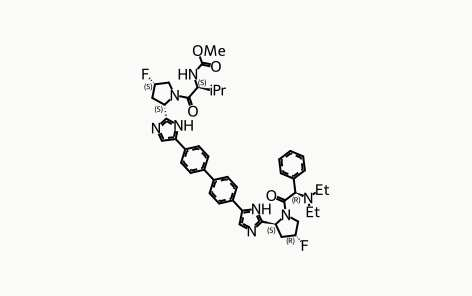 CCN(CC)[C@@H](C(=O)N1C[C@H](F)C[C@H]1c1ncc(-c2ccc(-c3ccc(-c4cnc([C@@H]5C[C@H](F)CN5C(=O)[C@@H](NC(=O)OC)C(C)C)[nH]4)cc3)cc2)[nH]1)c1ccccc1